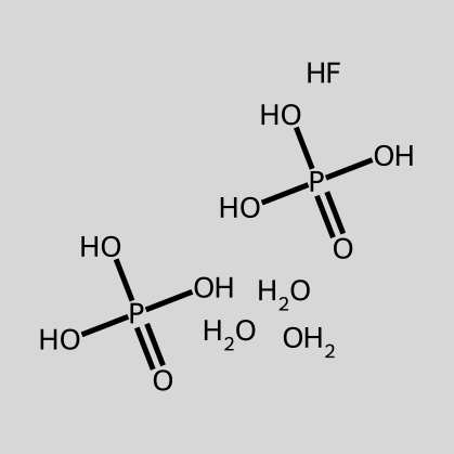 F.O.O.O.O=P(O)(O)O.O=P(O)(O)O